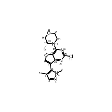 Cc1cnn(C)c1-c1csc2c(N3CCOC[C@H]3C)nc(Cl)nc12